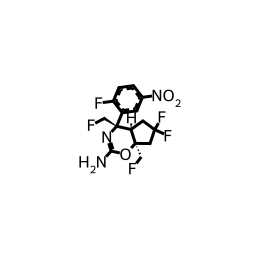 NC1=N[C@](CF)(c2cc([N+](=O)[O-])ccc2F)[C@H]2CC(F)(F)C[C@@]2(CF)O1